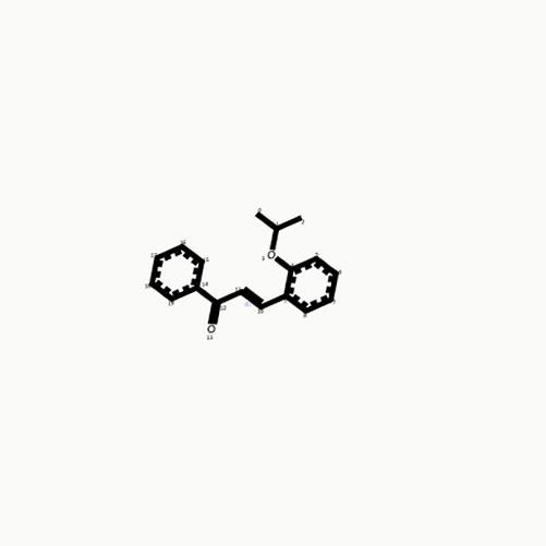 CC(C)Oc1ccccc1/C=C/C(=O)c1ccccc1